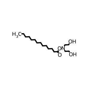 CCCCCCCCCCCCCC(=O)ON(CCO)CCO